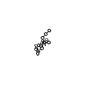 c1ccc(-c2ccc(-c3cccc(-c4nc(-n5c6ccc7sc8ccc9c%10ccccc%10n%10c%11cccc5c%11c6c7c8c9%10)nc5c4oc4ccccc45)c3)cc2)cc1